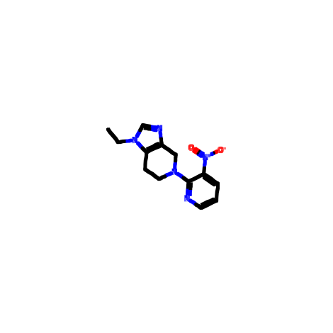 CCn1cnc2c1CCN(c1ncccc1[N+](=O)[O-])C2